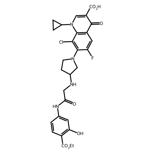 CCOC(=O)c1ccc(NC(=O)CNC2CCN(c3c(F)cc4c(=O)c(C(=O)O)cn(C5CC5)c4c3Cl)C2)cc1O